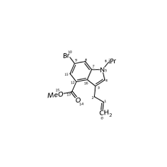 C=CCc1cn(C(C)C)c2cc(Br)cc(C(=O)OC)c12